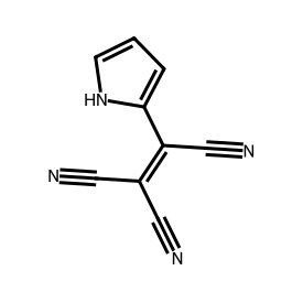 N#CC(C#N)=C(C#N)c1ccc[nH]1